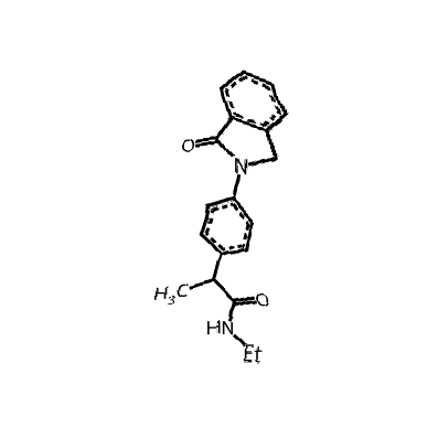 CCNC(=O)C(C)c1ccc(N2Cc3ccccc3C2=O)cc1